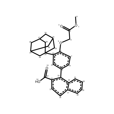 COC(=O)COc1ccc(-c2c(C(=O)O)ccc3ccccc23)cc1C12CC3CC(CC(C3)C1)C2